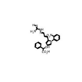 O=C(O)C(O)c1ccccc1.[H]/N=C(\N)NN=CC=Cc1cccn1-c1ccccc1[N+](=O)[O-]